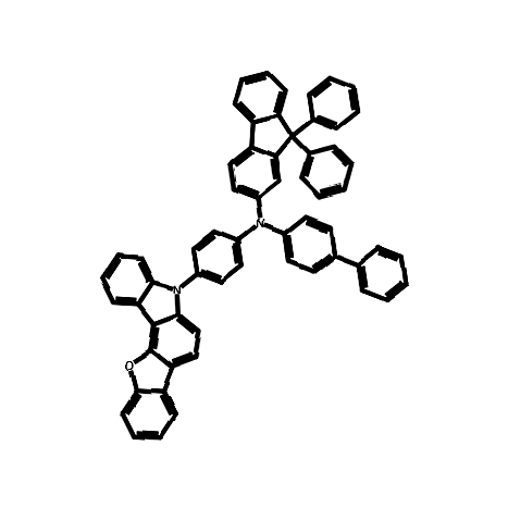 c1ccc(-c2ccc(N(c3ccc(-n4c5ccccc5c5c6oc7ccccc7c6ccc54)cc3)c3ccc4c(c3)C(c3ccccc3)(c3ccccc3)c3ccccc3-4)cc2)cc1